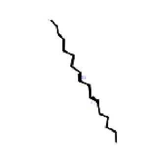 [CH2]CCCCCC/C=C/C/C=C/CCCCC